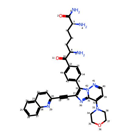 NC(=O)[C@@H](N)CCCC(N)C(=O)c1ccc(-c2c(C#Cc3ccc4ccccc4n3)nc3c(N4CCOCC4)ccnn23)cc1